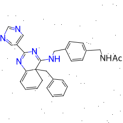 CC(=O)NCc1ccc(CNC2=NC(c3cncnc3)=NC3=CC=CCC32Cc2ccccc2)cc1